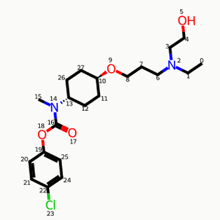 CCN(CCO)CCCO[C@H]1CC[C@H](N(C)C(=O)Oc2ccc(Cl)cc2)CC1